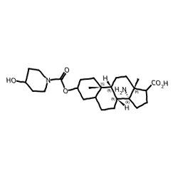 C[C@]12CCC(OC(=O)N3CCC(O)CC3)CC1CC[C@@H]1[C@H]2CC[C@]2(C)C(C(=O)O)CC[C@@]12N